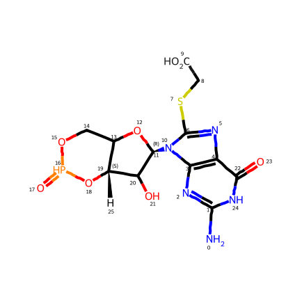 Nc1nc2c(nc(SCC(=O)O)n2[C@@H]2OC3CO[PH](=O)O[C@H]3C2O)c(=O)[nH]1